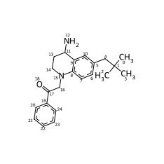 CC(C)(C)Cc1ccc2c(c1)C(N)CCN2CC(=O)c1ccccc1